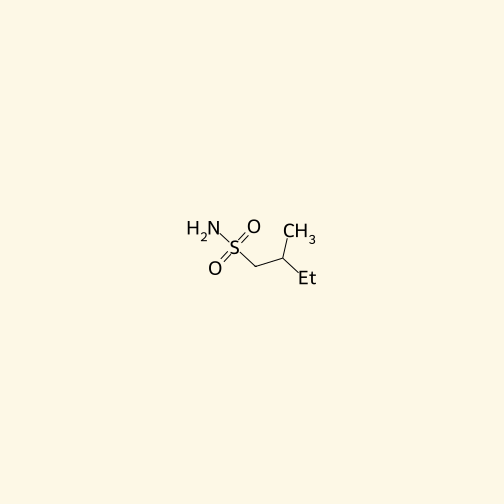 CCC(C)CS(N)(=O)=O